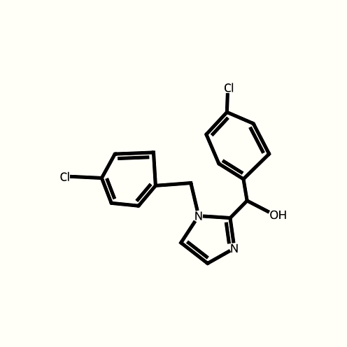 OC(c1ccc(Cl)cc1)c1nccn1Cc1ccc(Cl)cc1